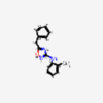 Cc1ccccc1Nc1noc(Cc2ccccc2)n1